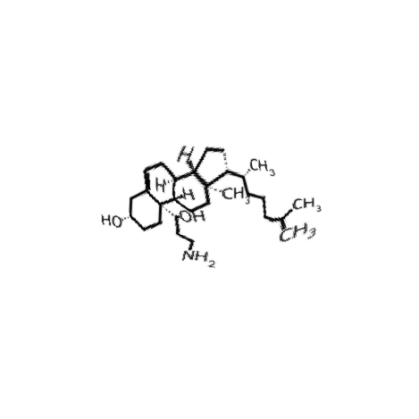 CC(C)CCC[C@@H](C)[C@H]1CC[C@H]2[C@@H]3CC=C4C[C@@H](O)CC[C@]4(C(O)CCN)[C@H]3CC[C@]12C